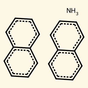 N.c1ccc2ccccc2c1.c1ccc2ccccc2c1